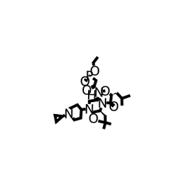 CCOP(C)(=O)CC(=O)N1O[C@H](CC(C)C)C(=O)N2[C@@H]1CN(C1CCN(C3CC3)CC1)C(=O)[C@@H]2CC(C)(C)C